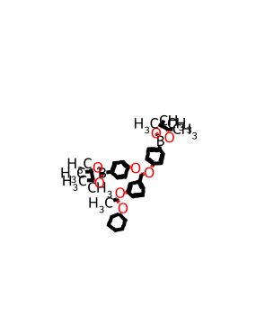 CC(Oc1cccc(C(Oc2ccc(B3OC(C)(C)C(C)(C)O3)cc2)Oc2ccc(B3OC(C)(C)C(C)(C)O3)cc2)c1)OC1CCCCC1